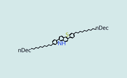 CCCCCCCCCCCCCCCCCCCCc1ccc2c(c1)[nH]c1c2ccc2c1ccc1c3ccc(CCCCCCCCCCCCCCCCCCCC)cc3sc12